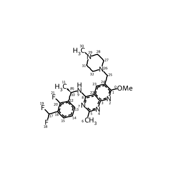 COc1nc2nc(C)nc(N[C@H](C)c3cccc(C(F)F)c3F)c2cc1CN1CCN(C)CC1